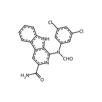 NC(=O)c1cc2c([nH]c3ccccc32)c(N(C=O)c2cc(Cl)cc(Cl)c2)n1